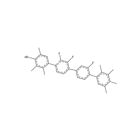 CCCc1c(C)cc(-c2ccc(-c3ccc(-c4cc(C)c(C)c(C)c4C)c(F)c3)c(F)c2F)c(C)c1C